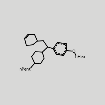 CCCCCCOc1ccc(C(CC2CC=CCC2)C2CCC(CCCCC)CC2)cc1